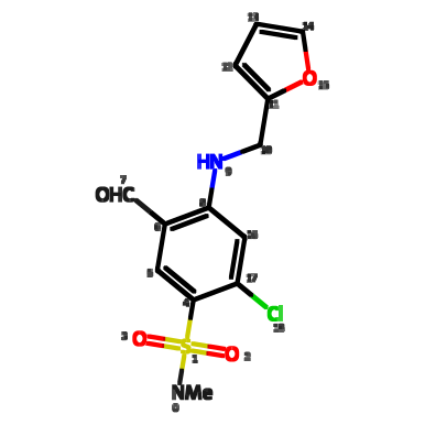 CNS(=O)(=O)c1cc(C=O)c(NCc2ccco2)cc1Cl